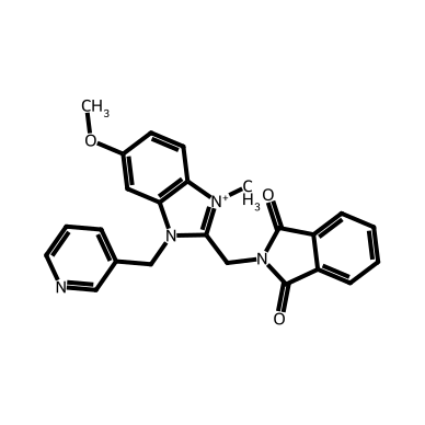 COc1ccc2c(c1)n(Cc1cccnc1)c(CN1C(=O)c3ccccc3C1=O)[n+]2C